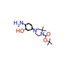 CC(C)(C)OC(=O)N1CCN(c2ccc(N)c(O)c2)CC1(C)C